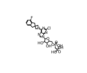 O=P(O)(O)CP(=O)(O)OCC1OC(n2cnc3c(N4CC5(Cc6cccc(F)c6C5)C4)nc(Cl)nc32)C(O)C1O